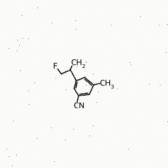 [CH2]C(CF)c1cc(C)cc(C#N)c1